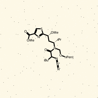 CCCCCOCN(C(=O)C(N=[N+]=[N-])C(C)CC)[C@H](C[C@@H](OC)c1nc(C(=O)OC)cs1)C(C)C